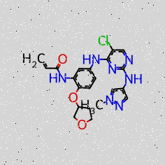 C=CC(=O)Nc1cc(Nc2nc(Nc3cnn(C)c3)ncc2Cl)ccc1OC1CCOC1